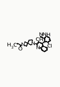 C=CC(=O)N1CC2(CCN(c3nc4ccccc4c(-c4c(Cl)ccc5[nH]ncc45)c3C)C2)C1